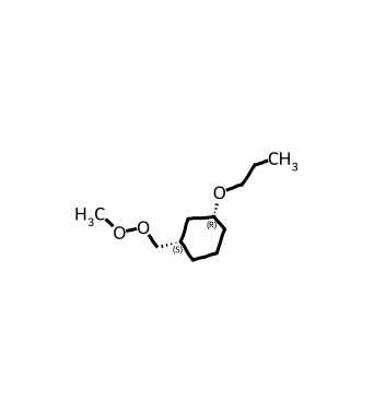 CCCO[C@@H]1CCC[C@H](COOC)C1